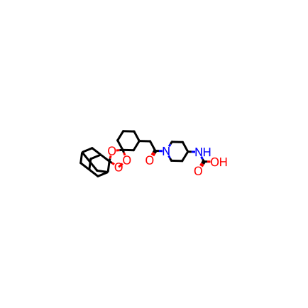 O=C(O)NC1CCN(C(=O)CC2CCCC3(C2)OOC2(O3)C3CC4CC(C3)CC2C4)CC1